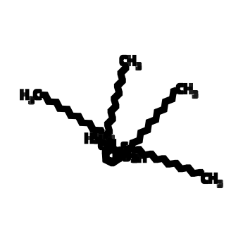 CCCCCCCCCCCCP(O)(S)(CCCCCCCCCCCC)Sc1ccccc1SP(O)(S)(CCCCCCCCCCCC)CCCCCCCCCCCC